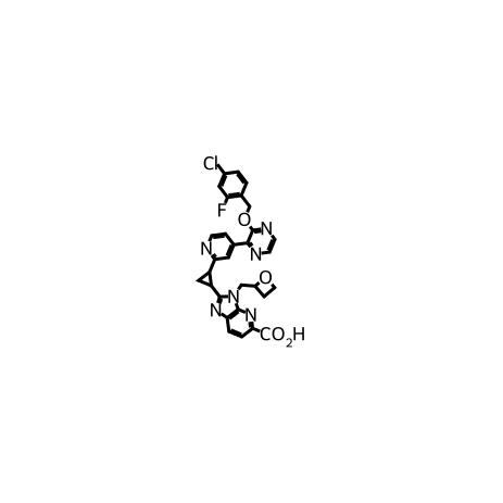 O=C(O)c1ccc2nc(C3CC3c3cc(-c4nccnc4OCc4ccc(Cl)cc4F)ccn3)n(CC3CCO3)c2n1